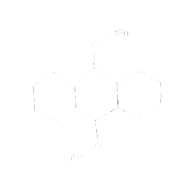 CCOC1C2CCCCC2C(OC(C)(C)C)C2CCCCC21